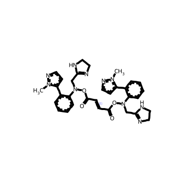 Cn1nccc1-c1ccccc1N(CC1=NCCN1)OC(=O)/C=C/C(=O)ON(CC1=NCCN1)c1ccccc1-c1ccnn1C